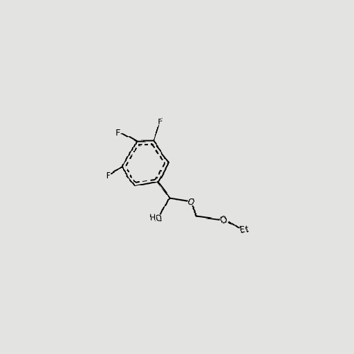 CCOCOC(O)c1cc(F)c(F)c(F)c1